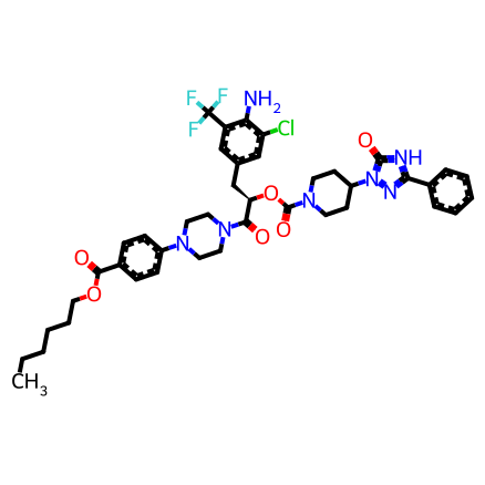 CCCCCCOC(=O)c1ccc(N2CCN(C(=O)[C@@H](Cc3cc(Cl)c(N)c(C(F)(F)F)c3)OC(=O)N3CCC(n4nc(-c5ccccc5)[nH]c4=O)CC3)CC2)cc1